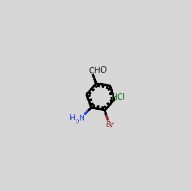 Cl.Nc1cc(C=O)ccc1Br